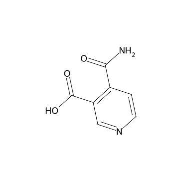 NC(=O)c1ccncc1C(=O)O